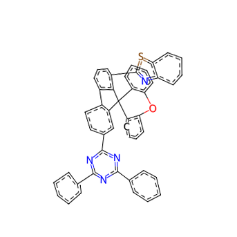 c1ccc(-c2nc(-c3ccccc3)nc(-c3ccc4c(c3)C3(c5ccccc5Oc5ccccc53)c3c(-c5nc6ccccc6s5)cccc3-4)n2)cc1